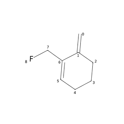 C=C1CCCC=C1CF